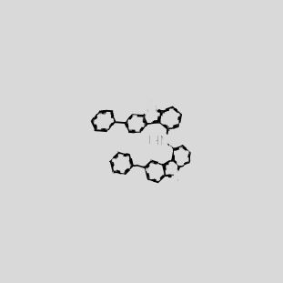 c1ccc(-c2ccc3c(c2)oc2cccc(Nc4cccc5sc6ccc(-c7ccccc7)cc6c45)c23)cc1